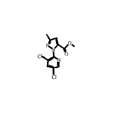 COC(=O)c1cc(C)nn1-c1ncc(Cl)cc1Cl